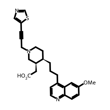 COc1ccc2nccc(CCC[C@@H]3CCN(CC#Cc4cncs4)C[C@@H]3CC(=O)O)c2c1